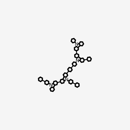 c1ccc(-c2ccc(-n3c4ccccc4c4cc(-c5ccc6c(c5)c5ccc(-c7ccc(-c8ccc(-n9c%10ccc(-c%11ccccc%11)cc%10c%10cc(-c%11ccc%12c(c%11)c%11ccccc%11n%12-c%11ccccc%11)ccc%109)cc8)cc7)cc5n6-c5ccc(-c6ccccc6)cc5)ccc43)cc2)cc1